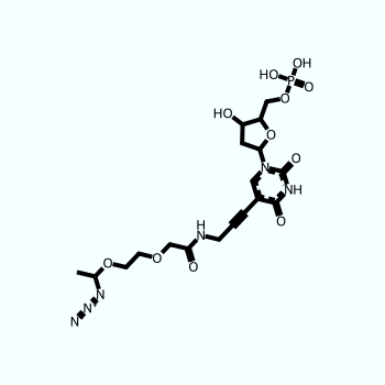 CC(N=[N+]=[N-])OCCOCC(=O)NCC#Cc1cn(C2CC(O)C(COP(=O)(O)O)O2)c(=O)[nH]c1=O